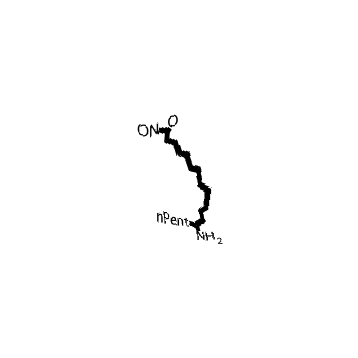 CCCCC/C(N)=C\C/C=C\CCCCCCCC(=O)N=O